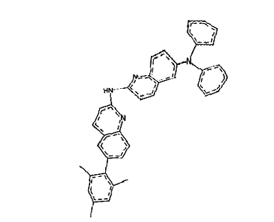 Cc1cc(C)c(-c2ccc3nc(Nc4ccc5cc(N(c6ccccc6)c6ccccc6)ccc5n4)ccc3c2)c(C)c1